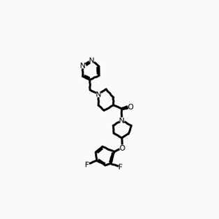 O=C(C1CCN(Cc2ccnnc2)CC1)N1CCC(Oc2ccc(F)cc2F)CC1